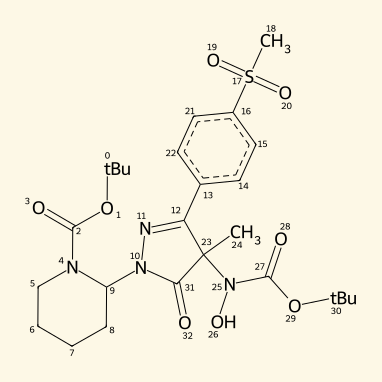 CC(C)(C)OC(=O)N1CCCCC1N1N=C(c2ccc(S(C)(=O)=O)cc2)C(C)(N(O)C(=O)OC(C)(C)C)C1=O